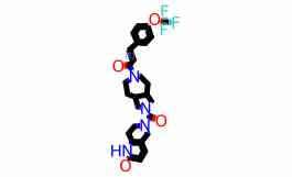 O=C(/C=C/c1ccc(OC(F)(F)F)cc1)N1CCC2CN(C(=O)N3CCc4[nH]c(=O)ccc4C3)CC2CC1